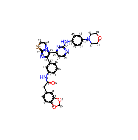 O=C(Cc1ccc2c(c1)OCO2)Nc1cccc(-c2nc3sccn3c2-c2ccnc(Nc3ccc(N4CCOCC4)cc3)n2)c1